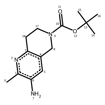 Cc1nc2c(cc1N)CN(C(=O)OC(C)(C)C)CC2